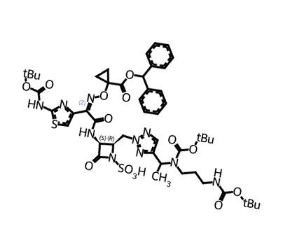 CC(c1cnn(C[C@@H]2[C@H](NC(=O)/C(=N\OC3(C(=O)OC(c4ccccc4)c4ccccc4)CC3)c3csc(NC(=O)OC(C)(C)C)n3)C(=O)N2S(=O)(=O)O)n1)N(CCCNC(=O)OC(C)(C)C)C(=O)OC(C)(C)C